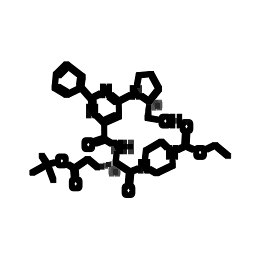 CCOC(=O)N1CCN(C(=O)[C@H](CCC(=O)OC(C)(C)C)NC(=O)c2cc(N3CCC[C@H]3CO)nc(-c3ccccc3)n2)CC1